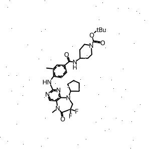 Cc1cc(C(=O)NC2CCN(C(=O)OC(C)(C)C)CC2)ccc1Nc1ncc2c(n1)N(C1CCCC1)CC(F)(F)C(=O)N2C